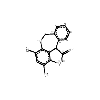 Cc1cc(Cl)c2c(c1C)C(C(=O)O)c1ccccc1CO2